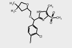 Cc1[nH]c(C(OCC2CC(C)(C)CO2)c2ccc(F)c(Cl)c2)nc1S(C)(=O)=O